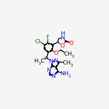 CCOc1c([C@H](C)n2nc(C)c3c(N)ncnc32)cc(Cl)c(F)c1C1CNC(=O)O1